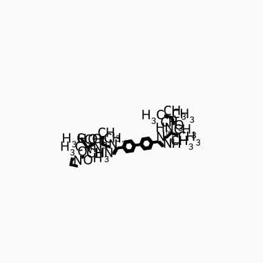 C[C@H](C(=O)N[C@H](c1nc(-c2ccc(-c3ccc(-c4c[nH]c([C@@H](NC(=O)[C@](C)(OC(=O)N5CCC5)C(C)(C)C)C(C)(C)C)n4)cc3)cc2)c[nH]1)C(C)(C)C)C(C)(C)C